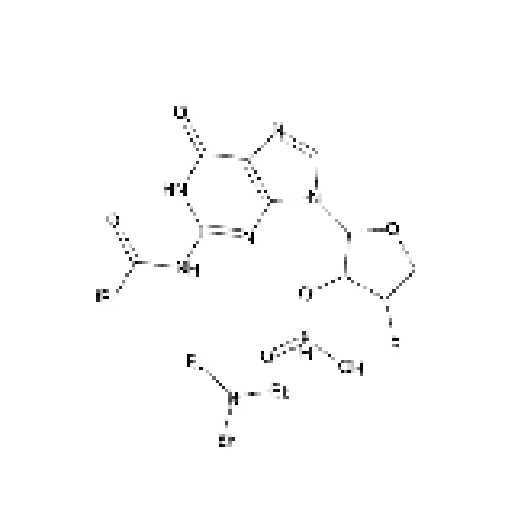 CC(C)C(=O)Nc1nc2c(ncn2C2OCC(F)C2O[PH](=O)O)c(=O)[nH]1.CCN(CC)CC